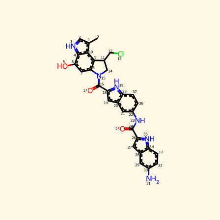 Cc1c[nH]c2c(O)cc3c(c12)C(CCl)CN3C(=O)c1cc2cc(NC(=O)c3cc4cc(N)ccc4[nH]3)ccc2[nH]1